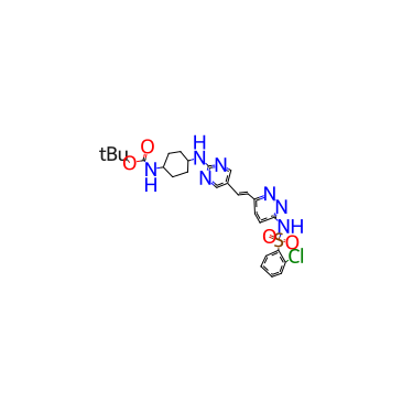 CC(C)(C)OC(=O)NC1CCC(Nc2ncc(/C=C/c3ccc(NS(=O)(=O)c4ccccc4Cl)nn3)cn2)CC1